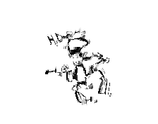 CCn1c(=O)nc(-c2ccc(C(C)C)cc2)c2cc(OC)c(OC)cc21